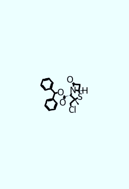 C[C@]1(CCl)S[C@@H]2CC(=O)N2[C@H]1C(=O)OC(c1ccccc1)c1ccccc1